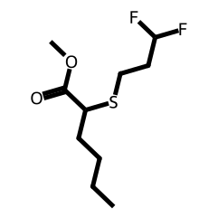 CCCCC(SCCC(F)F)C(=O)OC